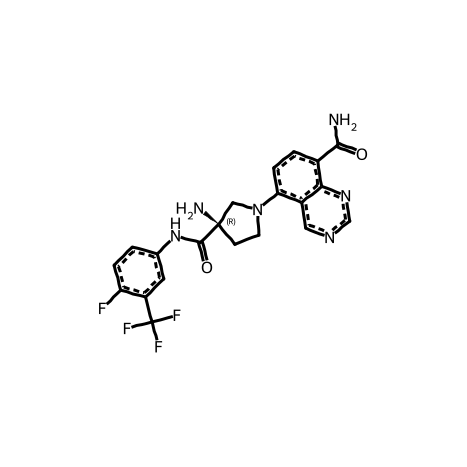 NC(=O)c1ccc(N2CC[C@](N)(C(=O)Nc3ccc(F)c(C(F)(F)F)c3)C2)c2cncnc12